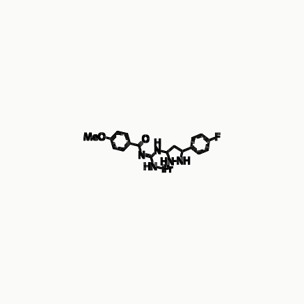 COc1ccc(C(=O)/N=C(/NC(C)C)NC2CC(c3ccc(F)cc3)NN2)cc1